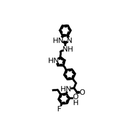 CCc1cc(F)cc(C)c1NC(Cc1ccc(-c2c[nH]c(CNc3nc4ccccc4[nH]3)c2)cc1)C(=O)O